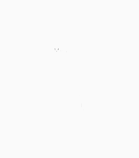 [CH2]SCCCCC=C